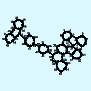 c1ccc2c(c1)-c1ccccc1C21c2ccccc2-c2c1ccc1c(-c3ccc(-c4ccc(-n5c6ccccc6c6ccccc65)cc4)cc3)nc3ccccc3c21